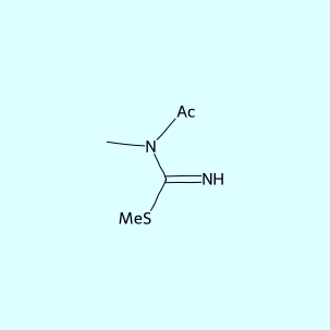 CSC(=N)N(C)C(C)=O